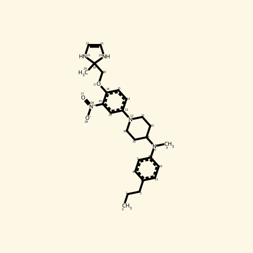 CCCc1ccc(N(C)C2CCN(c3ccc(OCC4(C)NC=CN4)c([N+](=O)[O-])c3)CC2)cc1